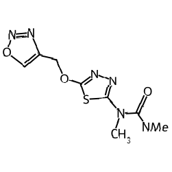 CNC(=O)N(C)c1nnc(OCc2conn2)s1